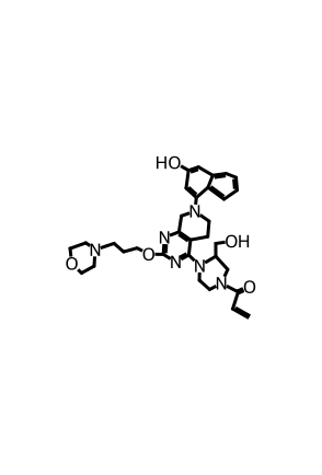 C=CC(=O)N1CCN(c2nc(OCCCN3CCOCC3)nc3c2CCN(c2cc(O)cc4ccccc24)C3)C(CO)C1